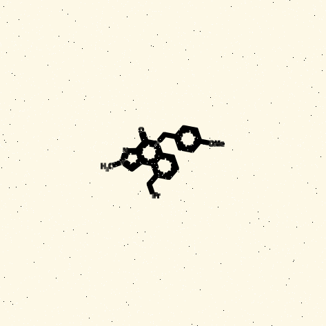 COc1ccc(Cn2c(=O)c3nn(C)cc3c3c(CC(C)C)cccc32)cc1